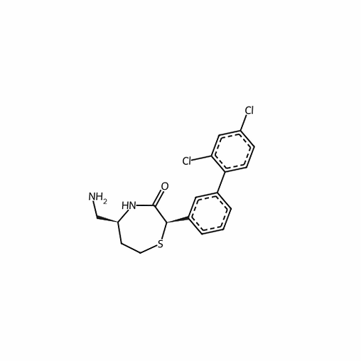 NC[C@@H]1CCS[C@H](c2cccc(-c3ccc(Cl)cc3Cl)c2)C(=O)N1